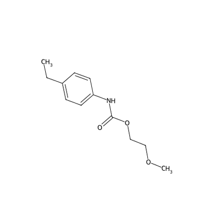 CCc1ccc(NC(=O)OCCOC)cc1